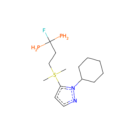 CS(C)(CCC(F)(P)P)c1ccnn1C1CCCCC1